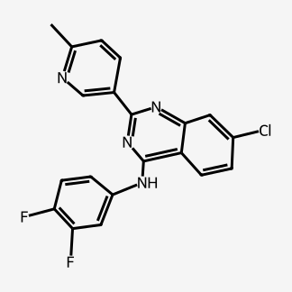 Cc1ccc(-c2nc(Nc3ccc(F)c(F)c3)c3ccc(Cl)cc3n2)cn1